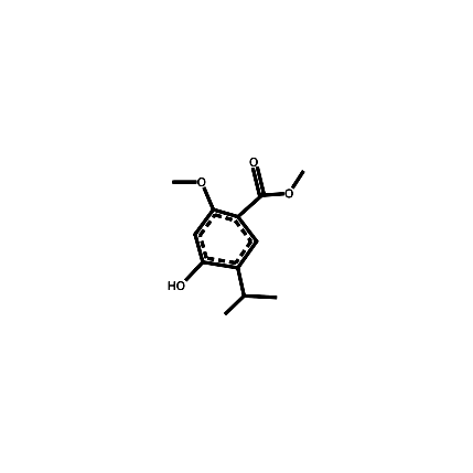 COC(=O)c1cc(C(C)C)c(O)cc1OC